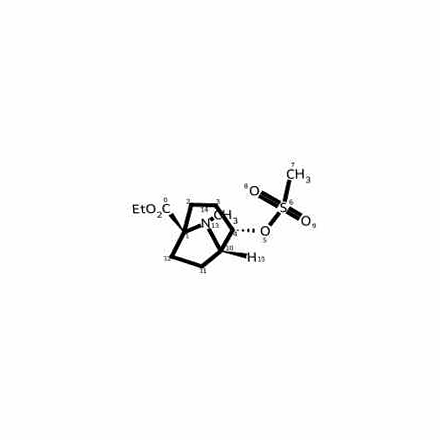 CCOC(=O)[C@]12CC[C@H](OS(C)(=O)=O)[C@H](CC1)N2C